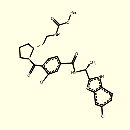 C[C@H](NC(=O)c1ccc(C(=O)N2CCC[C@@H]2CCNC(=O)OC(C)(C)C)c(Cl)c1)c1nc2cc(Cl)ccc2[nH]1